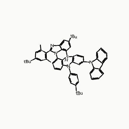 Cc1cc(C(C)(C)C)cc(C)c1-c1nc2cc(C(C)(C)C)cc3c2n1-c1cccc2c1[SH]3c1ccc(-n3c4ccccc4c4ccccc43)cc1N2c1ccc(C(C)(C)C)cc1